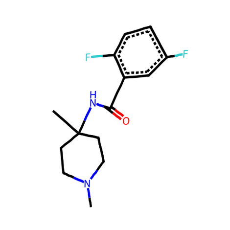 CN1CCC(C)(NC(=O)c2cc(F)ccc2F)CC1